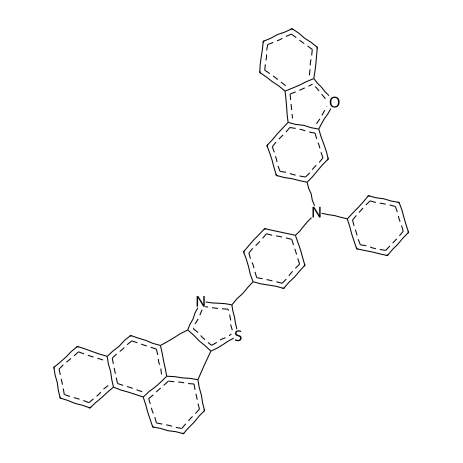 c1ccc(N(c2ccc(-c3nc4c(s3)-c3cccc5c3c-4cc3ccccc35)cc2)c2ccc3c(c2)oc2ccccc23)cc1